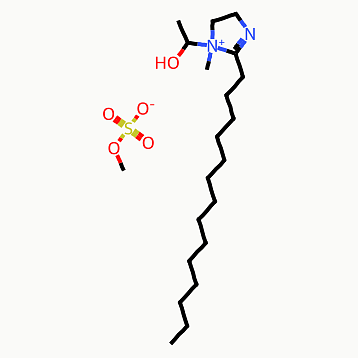 CCCCCCCCCCCCCCC1=NCC[N+]1(C)C(C)O.COS(=O)(=O)[O-]